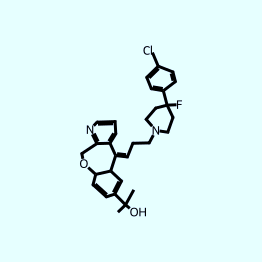 CC(C)(O)C1=CC2/C(=C/CCN3CCC(F)(c4ccc(Cl)cc4)CC3)c3cccnc3COC2C=C1